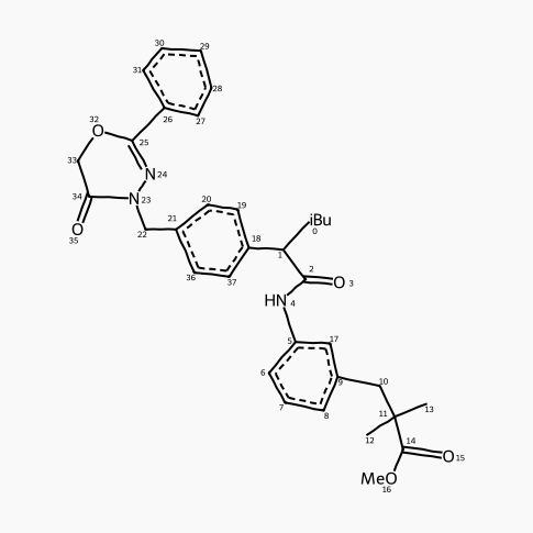 CCC(C)C(C(=O)Nc1cccc(CC(C)(C)C(=O)OC)c1)c1ccc(CN2N=C(c3ccccc3)OCC2=O)cc1